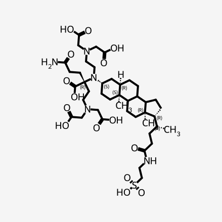 C[C@H](CCC(=O)NCCS(=O)(=O)O)[C@H]1CCC2C3CC[C@@H]4C[C@@H](N(CCN(CC(=O)O)CC(=O)O)[C@](CCC(N)=O)(CCN(CC(=O)O)CC(=O)O)C(=O)O)CC[C@]4(C)C3CC[C@@]21C